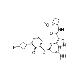 CNc1cc(Nc2cccn([C@H]3C[C@H](F)C3)c2=O)nc2c(C(=O)NC3CC[C@H]3OC)cnn12